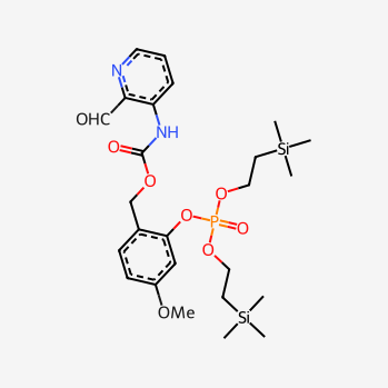 COc1ccc(COC(=O)Nc2cccnc2C=O)c(OP(=O)(OCC[Si](C)(C)C)OCC[Si](C)(C)C)c1